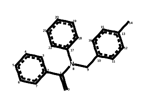 C=C(c1ccccc1)N(Cc1ccc(C)cc1)c1ccccc1